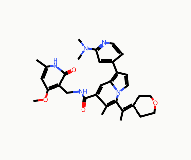 COc1cc(C)[nH]c(=O)c1CNC(=O)c1cc2c(-c3ccnc(N(C)C)c3)ccn2c(C(C)=C2CCOCC2)c1C